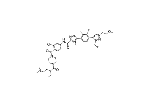 CCC(CCN(C)C)C(=O)N1CCN(C(=O)c2ccc(NC(=O)c3ncc(-c4ccc(-c5cn(CCOC)nc5CF)c(F)c4F)n3C)cc2Cl)CC1